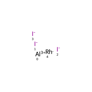 [Al+3].[I-].[I-].[I-].[Rh]